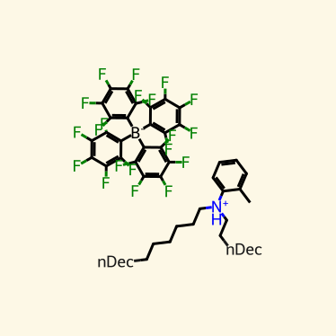 CCCCCCCCCCCCCCCC[NH+](CCCCCCCCCCCC)c1ccccc1C.Fc1c(F)c(F)c([B-](c2c(F)c(F)c(F)c(F)c2F)(c2c(F)c(F)c(F)c(F)c2F)c2c(F)c(F)c(F)c(F)c2F)c(F)c1F